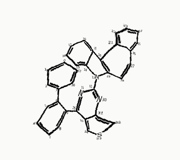 c1ccc(-c2ccccc2-c2nc(-n3c4ccccc4c4c5ccccc5ccc43)nc3cscc23)cc1